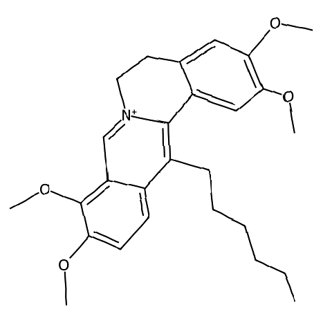 CCCCCCc1c2[n+](cc3c(OC)c(OC)ccc13)CCc1cc(OC)c(OC)cc1-2